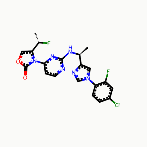 C[C@H](F)c1coc(=O)n1-c1ccnc(N[C@@H](C)c2cn(-c3ccc(Cl)cc3F)cn2)n1